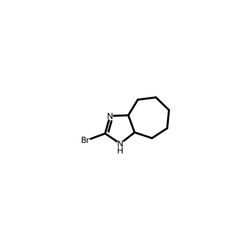 BrC1=NC2CCCCCC2N1